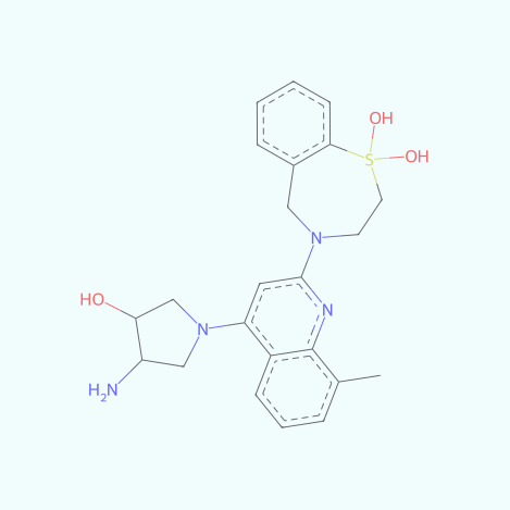 Cc1cccc2c(N3CC(N)C(O)C3)cc(N3CCS(O)(O)c4ccccc4C3)nc12